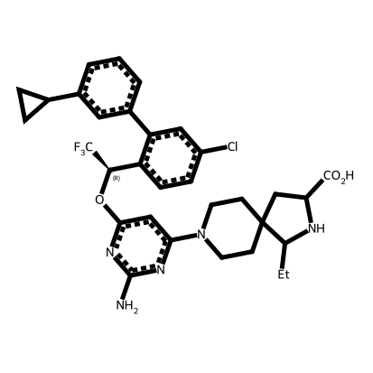 CCC1NC(C(=O)O)CC12CCN(c1cc(O[C@H](c3ccc(Cl)cc3-c3cccc(C4CC4)c3)C(F)(F)F)nc(N)n1)CC2